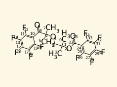 CC(C)(COC(C)(C)C(=O)c1c(F)c(F)c(F)c(F)c1F)OC(=O)c1c(F)c(F)c(F)c(F)c1F